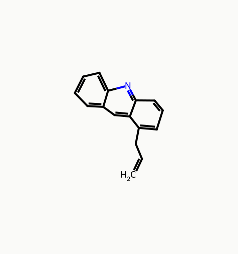 C=CCc1cccc2nc3ccccc3cc12